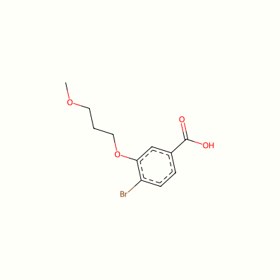 COCCCOc1cc(C(=O)O)ccc1Br